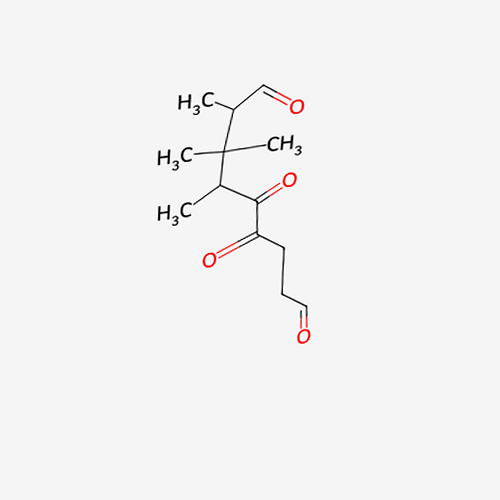 CC(C=O)C(C)(C)C(C)C(=O)C(=O)CCC=O